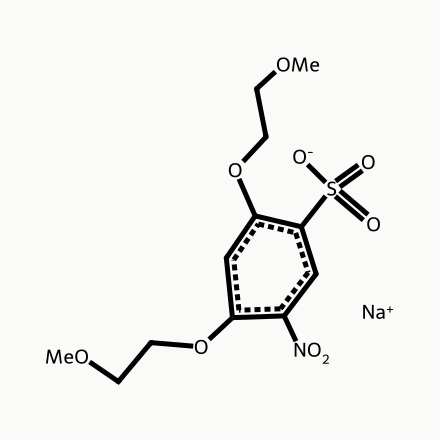 COCCOc1cc(OCCOC)c(S(=O)(=O)[O-])cc1[N+](=O)[O-].[Na+]